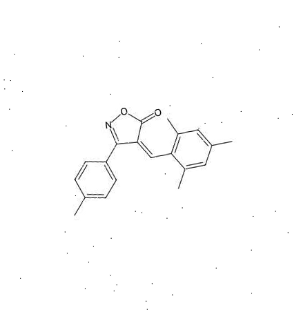 Cc1ccc(C2=NOC(=O)/C2=C\c2c(C)cc(C)cc2C)cc1